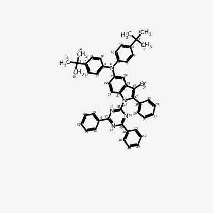 CC(C)(C)c1ccc(N(c2ccc(C(C)(C)C)cc2)c2ccc3c(c2)c(Br)c(-c2ccccc2)n3-c2nc(-c3ccccc3)nc(-c3ccccc3)n2)cc1